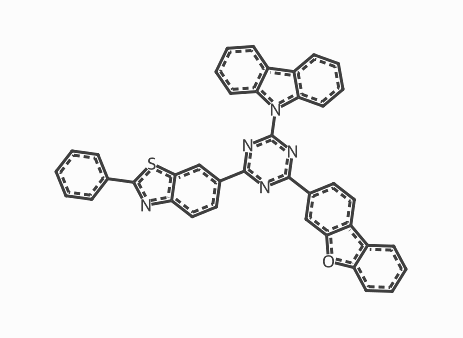 c1ccc(-c2nc3ccc(-c4nc(-c5ccc6c(c5)oc5ccccc56)nc(-n5c6ccccc6c6ccccc65)n4)cc3s2)cc1